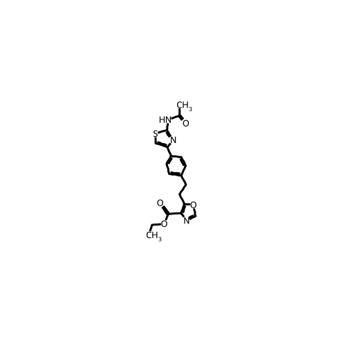 CCOC(=O)c1ncoc1CCc1ccc(-c2csc(NC(C)=O)n2)cc1